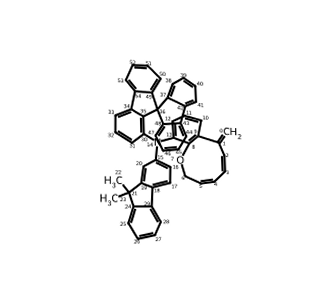 C=C1/C=C\C=C/COc2c1cccc2N(c1ccc2c(c1)C(C)(C)c1ccccc1-2)c1cccc2c1C1(c3ccccc3-c3ccccc31)c1ccccc1-2